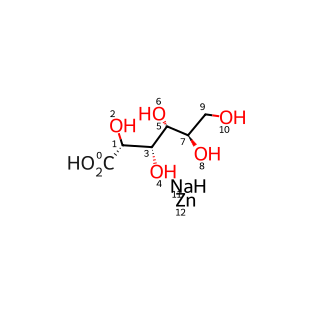 O=C(O)[C@H](O)[C@@H](O)[C@H](O)[C@H](O)CO.[NaH].[Zn]